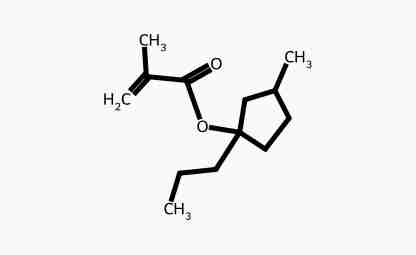 C=C(C)C(=O)OC1(CCC)CCC(C)C1